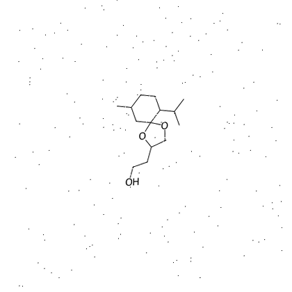 CC1CCC(C(C)C)C2(C1)OCC(CCO)O2